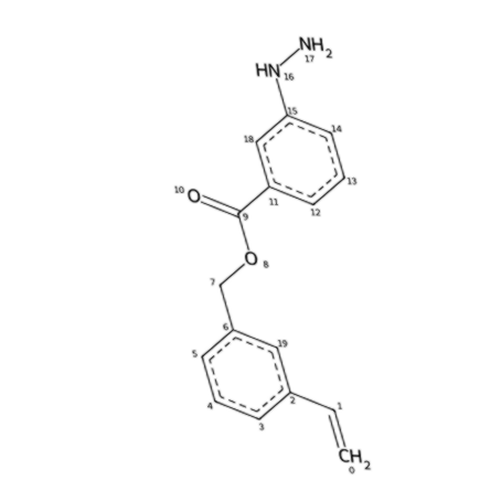 C=Cc1cccc(COC(=O)c2cccc(NN)c2)c1